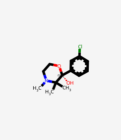 CN1CCO[C@@](O)(c2cccc(Cl)c2)C1(C)C